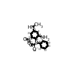 CNc1cc(N)c(N(c2ccccc2)[N+](=O)[O-])c([N+](=O)[O-])c1